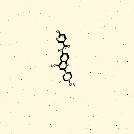 Cc1cc(N2CCN(C)CC2)nc2ccc(NC(=O)c3ccc(Cl)nc3)cc12